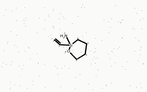 C=C[Si]1(N)CCCCO1